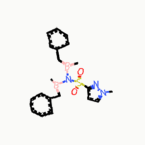 CB(Cc1ccccc1)N(B(C)Cc1ccccc1)S(=O)(=O)c1ccn(C)n1